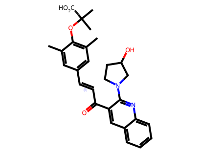 Cc1cc(/C=C/C(=O)c2cc3ccccc3nc2N2CCC(O)C2)cc(C)c1OC(C)(C)C(=O)O